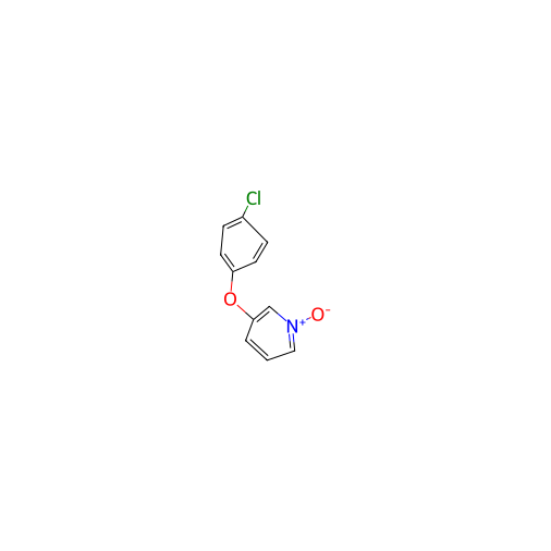 [O-][n+]1cccc(Oc2ccc(Cl)cc2)c1